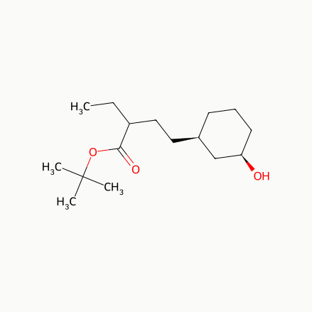 CCC(CC[C@H]1CCC[C@@H](O)C1)C(=O)OC(C)(C)C